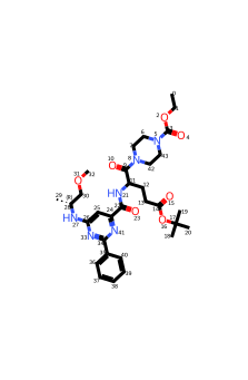 CCOC(=O)N1CCN(C(=O)C(CCC(=O)OC(C)(C)C)NC(=O)c2cc(N[C@H](C)COC)nc(-c3ccccc3)n2)CC1